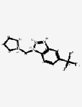 FC(F)(F)c1ccc2c(c1)nnn2CN1CCCC1